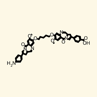 COc1cc2c(cc1OCCCCCOc1cc3c(cc1OC)C(=O)N1C=C(c4ccc(C(=O)O)cc4)CC1C=N3)N=CC1CC(c3ccc(N)cc3)=CN1C2=O